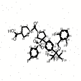 O=C(O)C1CCN(C(=O)N2CCC(c3ccc(C(OCc4c(F)cccc4F)(C(F)(F)F)C(F)(F)F)cc3)(S(=O)(=O)c3ccc(F)cc3)C2)CC1